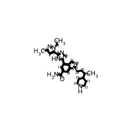 CCn1nc(C)cc1-c1nnc(-c2cc(C(N)=O)cc3c2cnn3CC[C@H](C)C2CCNCC2)[nH]1